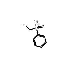 C[P@@](=O)(CO)c1ccccc1